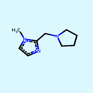 Cn1ccnc1CN1CCCC1